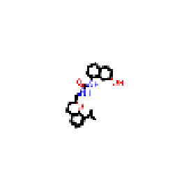 CC(C)c1cccc2c1OC(CNC(=O)NC1CCCC3CCC(O)CC31)CC2